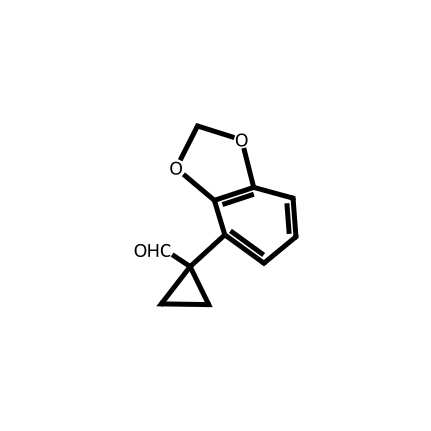 O=CC1(c2cccc3c2OCO3)CC1